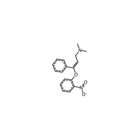 CN(C)CC=C(Oc1ccccc1[N+](=O)[O-])c1ccccc1